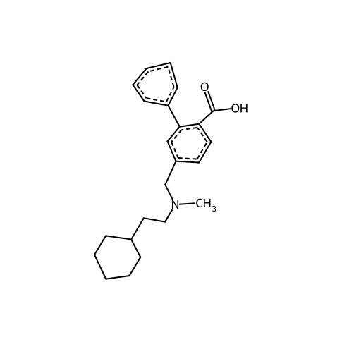 CN(CCC1CCCCC1)Cc1ccc(C(=O)O)c(-c2ccccc2)c1